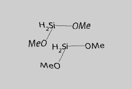 CO[SiH2]OC.CO[SiH2]OC